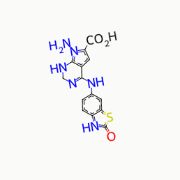 Nn1c(C(=O)O)cc2c1NCN=C2Nc1ccc2[nH]c(=O)sc2c1